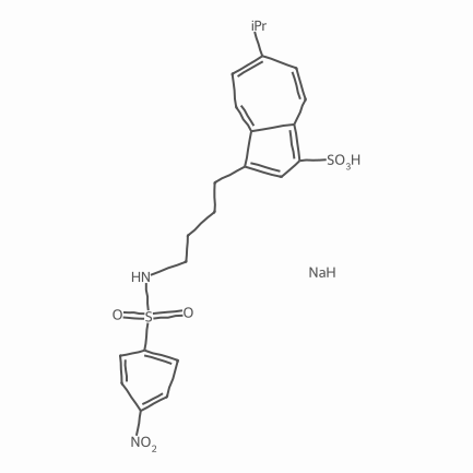 CC(C)c1ccc2c(CCCCNS(=O)(=O)c3ccc([N+](=O)[O-])cc3)cc(S(=O)(=O)O)c-2cc1.[NaH]